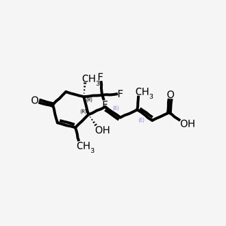 CC1=CC(=O)C[C@@](C)(C(F)(F)F)[C@@]1(O)/C=C/C(C)=C/C(=O)O